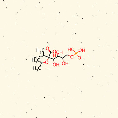 CC(C)O[C@](C(=O)O)(C(C)C)C(O)C(O)C(O)COP(=O)(O)O